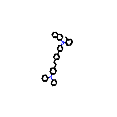 Cc1ccccc1N(c1ccc(-c2ccc(/C=C/c3ccc(N(c4ccccc4)c4ccccc4)cc3)cc2)cc1)c1ccc2ccccc2c1